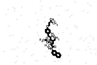 CN(C)CCOc1ccc(C[C@H](N)C(=O)C(CN)C[C@](C)(NOC(=O)C(F)(F)F)C(=O)Nc2ccc3ccccc3c2)cc1